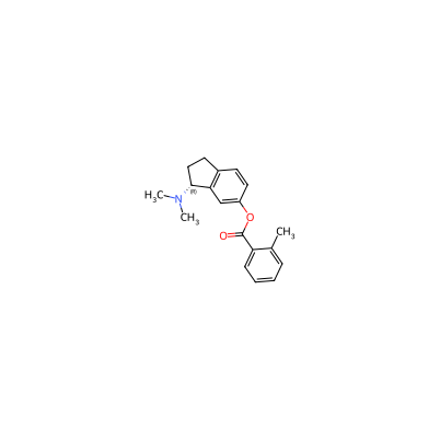 Cc1ccccc1C(=O)Oc1ccc2c(c1)[C@H](N(C)C)CC2